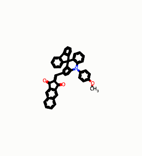 COc1ccc(N2c3ccccc3C3(c4ccccc4-c4ccccc43)c3cc(C=C4C(=O)c5cc6ccccc6cc5C4=O)ccc32)cc1